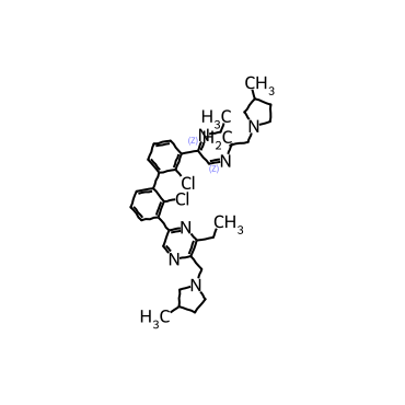 C=C(CN1CCC(C)C1)/N=C\C(=N/CC)c1cccc(-c2cccc(-c3cnc(CN4CCC(C)C4)c(CC)n3)c2Cl)c1Cl